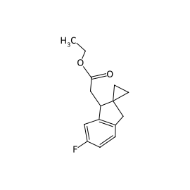 CCOC(=O)CC1c2cc(F)ccc2CC12CC2